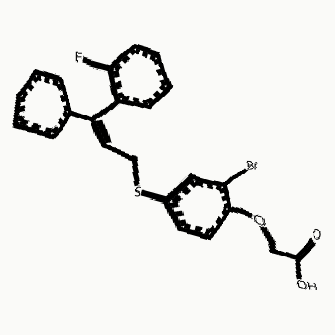 O=C(O)COc1ccc(SCC=C(c2ccccc2)c2ccccc2F)cc1Br